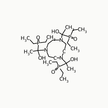 CCP(=O)(CC)C(C)(O)N1CCN(C(C)(O)P(=O)(CC)CC)CCN(C(C)(O)P(=O)(CC)CC)CC1